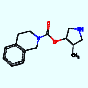 CC1CNCC1OC(=O)N1CCc2ccccc2C1